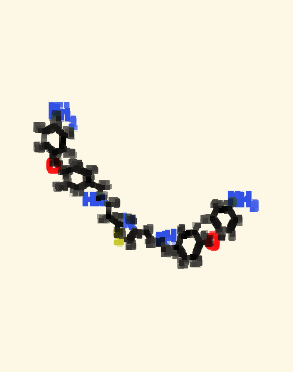 Nc1ccc(Oc2ccc(CNCCc3csc(CCNCc4ccc(Oc5ccc(N)cc5)cc4)n3)cc2)cc1